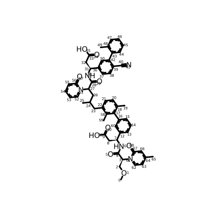 COC[C@@H](C(=O)N[C@@H](CC(=O)O)c1cccc(-c2c(C)ccc(CC(C)CC(C(=O)N[C@@H](CC(=O)O)c3ccc(C#N)c(-c4ccccc4C)c3)n3ccccc3=O)c2C)c1)n1ccc(C)cc1=O